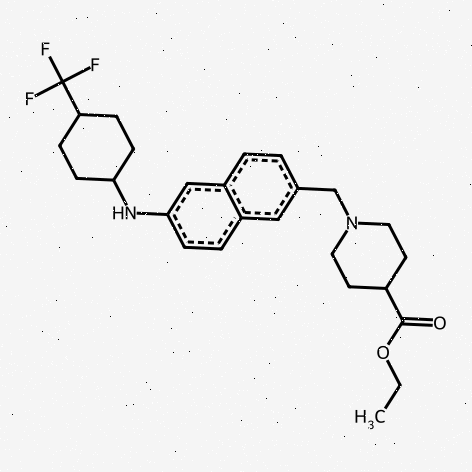 CCOC(=O)C1CCN(Cc2ccc3cc(NC4CCC(C(F)(F)F)CC4)ccc3c2)CC1